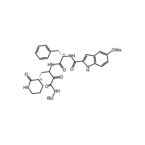 COc1ccc2[nH]c(C(=O)N[C@@H](Cc3ccccc3)C(=O)NC(C[C@@H]3CCCNC3=O)C(=O)C(=O)NC(C)(C)C)cc2c1